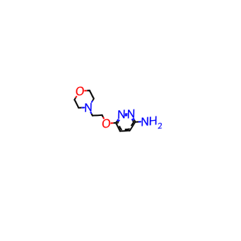 Nc1ccc(OCCN2CCOCC2)nn1